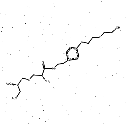 CC(=O)OC[C@H](CSC[C@H](N)C(=O)NCCc1ccc(OCCOCCO)cc1)OC(C)=O